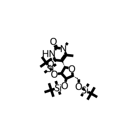 Cc1c([C@@H]2O[C@H](CO[Si](C)(C)C(C)(C)C)C(O[Si](C)(C)C(C)(C)C)C2O[Si](C)(C)C(C)(C)C)c(=O)[nH]c(=O)n1C